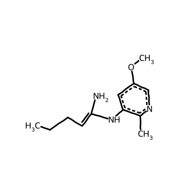 CCC/C=C(\N)Nc1cc(OC)cnc1C